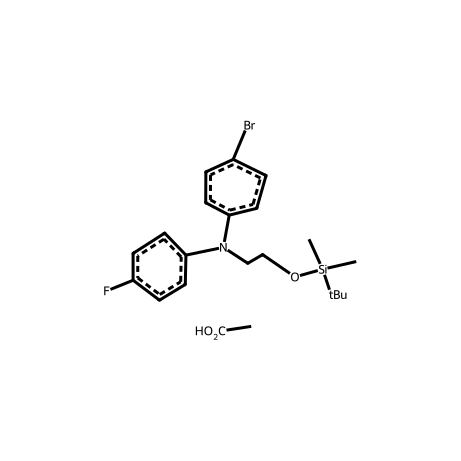 CC(=O)O.CC(C)(C)[Si](C)(C)OCCN(c1ccc(F)cc1)c1ccc(Br)cc1